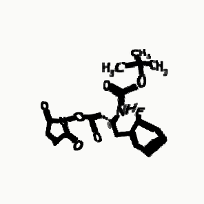 CC(C)(C)OC(=O)N[C@@H](CC(=O)ON1C(=O)CCC1=O)Cc1ccccc1F